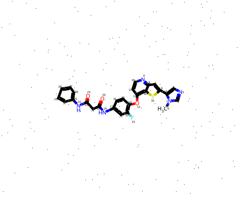 Cn1cncc1-c1cc2nccc(Oc3ccc(NC(=O)CC(=O)Nc4ccccc4)cc3F)c2s1